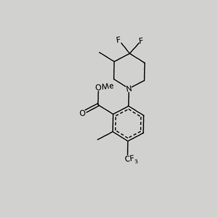 COC(=O)c1c(N2CCC(F)(F)C(C)C2)ccc(C(F)(F)F)c1C